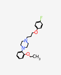 CCOc1ccccc1N1CCN(CCCOc2ccc(F)cc2)CC1